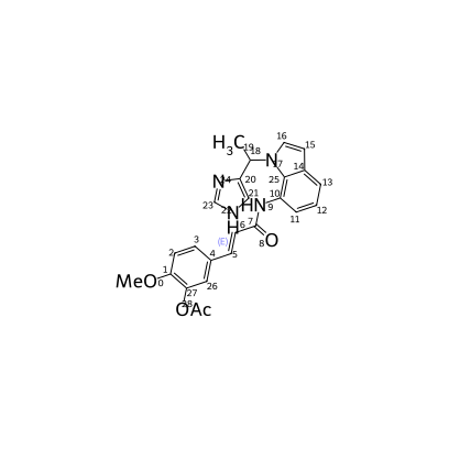 COc1ccc(/C=C/C(=O)Nc2cccc3ccn(C(C)c4c[nH]cn4)c23)cc1OC(C)=O